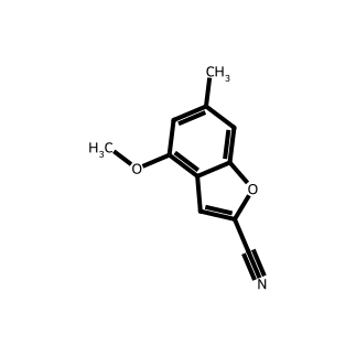 COc1cc(C)cc2oc(C#N)cc12